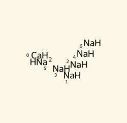 [CaH2].[NaH].[NaH].[NaH].[NaH].[NaH].[NaH]